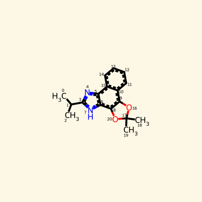 CC(C)c1nc2c([nH]1)c1c(c3ccccc32)OC(C)(C)O1